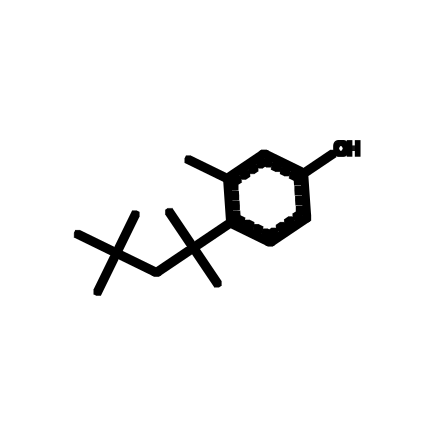 Cc1cc(O)ccc1C(C)(C)CC(C)(C)C